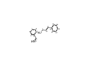 N=Cc1ccccc1OCC=Cc1ccccc1